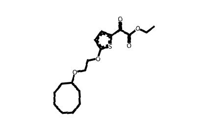 CCOC(=O)C(=O)c1ccc(OCCOC2CCCCCCC2)s1